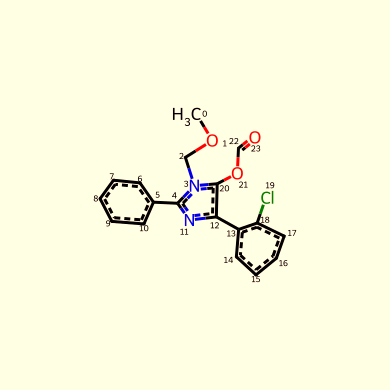 COCn1c(-c2ccccc2)nc(-c2ccccc2Cl)c1OC=O